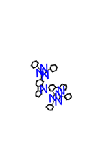 c1ccc(-c2nc(-c3ccccc3)nc(-c3ccc4c5ccccc5n(-c5ccc(-c6ccccn6)c(-c6nc(-c7ccccc7)nc(-c7ccccc7)n6)c5)c4c3)n2)cc1